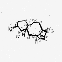 CC(=O)C1CC[C@@]2(C)CC[C@H]3[C@H](C)CC[C@@H](C[C@@H]2[C@@H]1C)C3(C)C